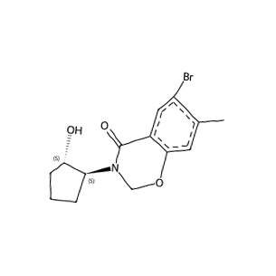 Cc1cc2c(cc1Br)C(=O)N([C@H]1CCC[C@@H]1O)CO2